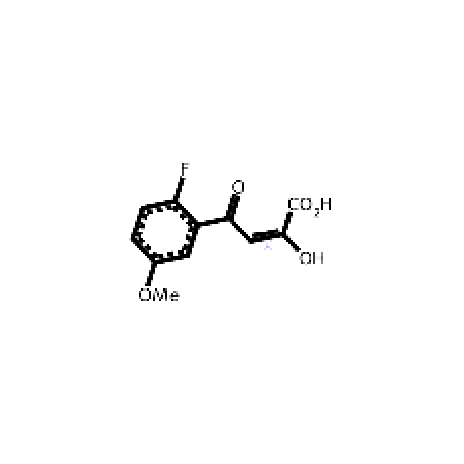 COc1ccc(F)c(C(=O)/C=C(/O)C(=O)O)c1